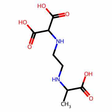 CC(NCCNC(C(=O)O)C(=O)O)C(=O)O